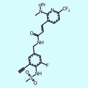 C#Cc1cc(CNC(=O)C=Cc2ccc(C(F)(F)F)nc2N(C)CCC)cc(F)c1NS(C)(=O)=O